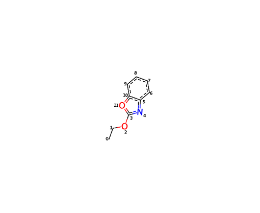 CCOc1nc2ccccc2o1